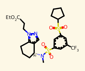 CCOC(=O)CCn1ncc2c1CCC[C@H]2N(C)S(=O)(=O)c1cc(C(F)(F)F)cc(S(=O)(=O)C2CCCC2)c1